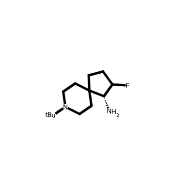 CC(C)(C)N1CCC2(CCC(F)[C@@H]2N)CC1